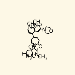 C=[N+]1CC(N2CCOCC2)=CC2=C1N(C)C=C=C2C1=CCC(=O)N(C(CN(C)C)C2(C)C=CC=C(I)C2)C=C1